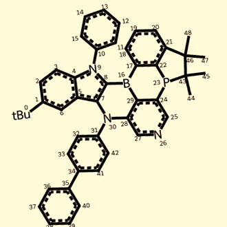 CC(C)(C)c1ccc2c(c1)c1c(n2-c2ccccc2)B2c3cccc4c3P(c3cncc(c32)N1c1ccc(-c2ccccc2)cc1)C(C)(C)C4(C)C